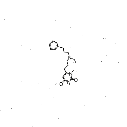 CCN(CCCc1ccccc1)CCCc1cc(=O)n(C)c(=O)n1C